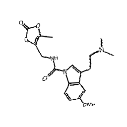 COc1ccc2c(c1)c(CCN(C)C)cn2C(=O)NCc1oc(=O)oc1C